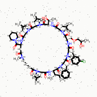 CC[C@H](C)[C@@H]1NC(=O)[C@H](CC(C)C)N(C)C(=O)CCCN(C)C(=O)CC(C(=O)N2CCCCC2)NC(=O)[C@H](CC(C)C)N(C)C(=O)[C@H](CC(C)C)N(C)C(=O)[C@H]([C@@H](C)O)NC(=O)[C@H](CC(C)C)N(C)C(=O)[C@H](COC[C@@H](C)O)NC(=O)[C@H](Cc2cccc(Cl)c2)N(C)C(=O)[C@H](Cc2ccccc2)N(C)C1=O